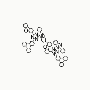 c1ccc(-c2nc3cc(-c4cccc5c4oc4cccc(-c6nc(-c7ccc8c9ccccc9c9ccccc9c8c7)nc(-n7c(-c8ccccc8)nc8ccccc87)n6)c45)ccc3n2-c2nc(-c3ccc4c(c3)oc3ccccc34)nc(-c3ccc4c5ccccc5c5ccccc5c4c3)n2)cc1